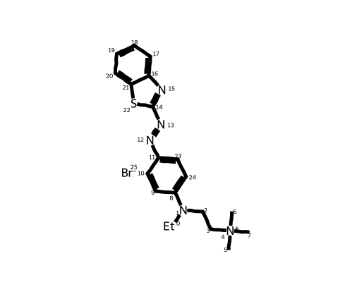 CCN(CC[N+](C)(C)C)c1ccc(N=Nc2nc3ccccc3s2)cc1.[Br-]